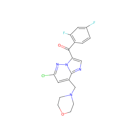 O=C(c1ccc(F)cc1F)c1cnc2c(CN3CCOCC3)cc(Cl)nn12